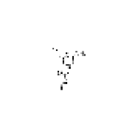 CCOC(=O)CN(CCN)CC(=O)OCC